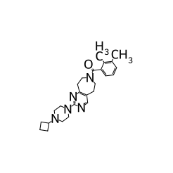 Cc1cccc(C(=O)N2CCc3cnc(N4CCN(C5CCC5)CC4)nc3CC2)c1C